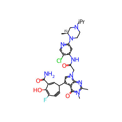 Cc1nc2c(c(C3C#CC(F)=C(O)C(C(N)=O)=C3)cn2CC(=O)Nc2cc(N3CCN(C(C)C)C[C@@H]3C)ncc2Cl)c(=O)n1C